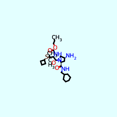 CCCOC(=O)N[C@@H](C(=O)N1C[C@H](N)C[C@H]1C(=O)NCC1CCCCC1)C(C)(C)SC1CCC1